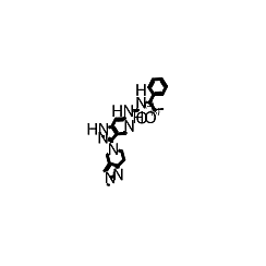 C[C@@H](O)[C@@H](NC(=O)Nc1cc2[nH]nc(N3CCc4nn(C)cc4C3)c2cn1)c1ccccc1